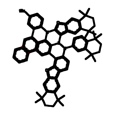 CC(C)(C)c1ccc(N2c3cc(-c4ccccc4)cc4c3B(c3c2oc2cc5c(cc32)C(C)(C)CCC5(C)C)N(c2ccc3c(c2)C(C)(C)CCC3(C)C)c2ccc3c(oc5cc6c(cc53)C(C)(C)CCC6(C)C)c2-4)c(-c2ccccc2)c1